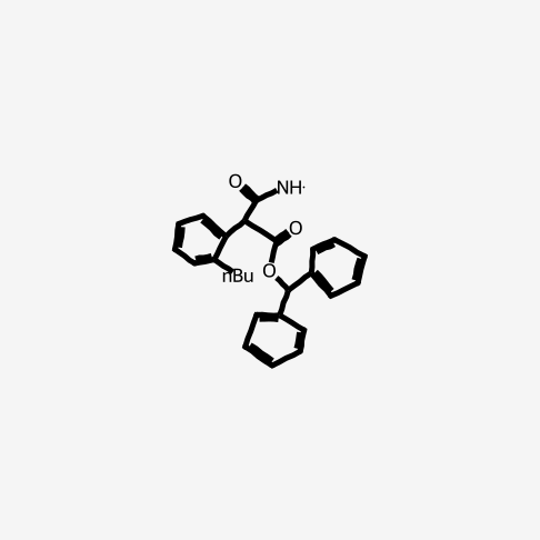 CCCCc1ccccc1C(C([NH])=O)C(=O)OC(c1ccccc1)c1ccccc1